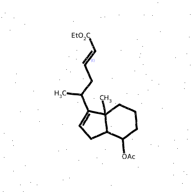 CCOC(=O)/C=C/CC(C)C1=CCC2C(OC(C)=O)CCCC12C